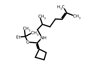 CCC(C)(C)OC(NCC(C)CCC=C(C)C)=C1CCC1